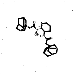 O=C(CC12CC3CC(CC(C3)C1)C2)NC1CCCC[C@H]1N(O)C(=O)CC12CC3CC(CC(C3)C1)C2